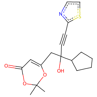 CC1(C)OC(=O)C=C(CC(O)(C#Cc2nccs2)C2CCCC2)O1